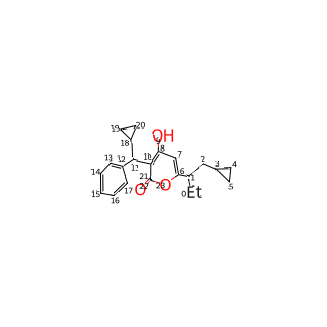 CCC(CC1CC1)c1cc(O)c(C(c2ccccc2)C2CC2)c(=O)o1